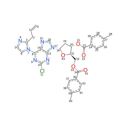 C=CCc1nccn1-c1nc(Cl)nc2c1ncn2[C@@H]1C[C@H](OC(=O)c2ccc(C)cc2)[C@@H](COC(=O)c2ccc(C)cc2)O1